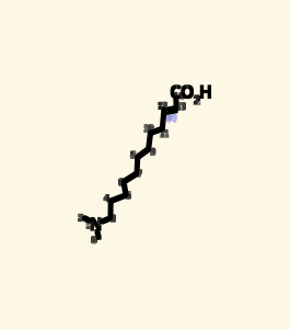 CN(C)CCCCCCCCC/C=C/C(=O)O